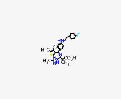 Cc1sc2c(c1C)C(c1ccc(NCCc3ccc(F)cc3)cc1)=NC([C@H](C)C(=O)O)c1nnc(C)n1-2